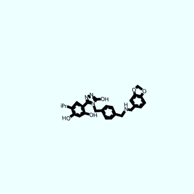 CC(C)c1cc(-c2nnc(O)n2Cc2ccc(CNCc3ccc4c(c3)OCO4)cc2)c(O)cc1O